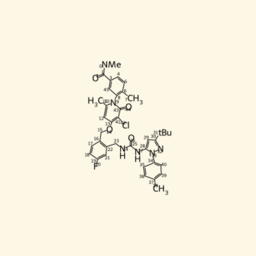 CNC(=O)c1ccc(C)c(-n2c(C)cc(OCc3ccc(F)cc3CNC(=O)Nc3cc(C(C)(C)C)nn3-c3ccc(C)cc3)c(Cl)c2=O)c1